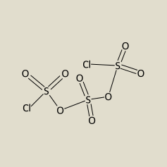 O=S(=O)(Cl)OS(=O)(=O)OS(=O)(=O)Cl